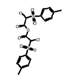 Cc1ccc(S(=O)(=O)C(Cl)C(=O)OC(=O)C(Cl)S(=O)(=O)c2ccc(C)cc2)cc1